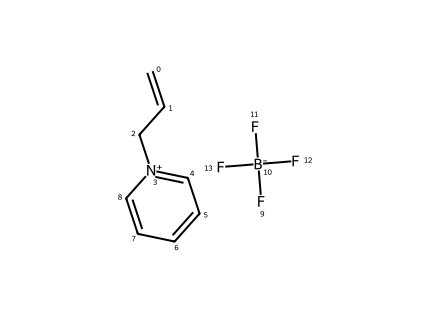 C=CC[n+]1ccccc1.F[B-](F)(F)F